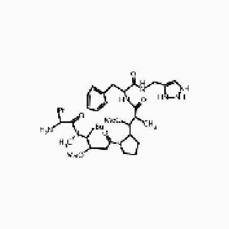 CCC(C)C(C(CC(=O)N1CCCC1C(OC)C(C)C(=O)NC(Cc1ccccc1)C(=O)NCC1=CNNN1)OC)N(C)C(=O)C(N)C(C)C